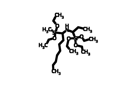 CCCCCCCC(NC(CC)[Si](OCC)(OCC)OCC)[Si](C)(OCC)OCC